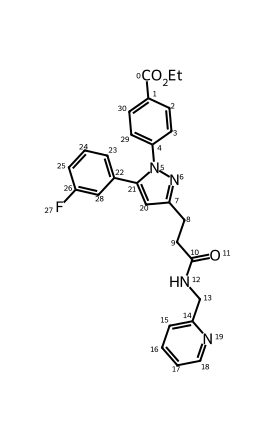 CCOC(=O)c1ccc(-n2nc(CCC(=O)NCc3ccccn3)cc2-c2cccc(F)c2)cc1